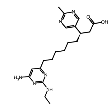 CCNc1nc(N)cc(CCCCCC[C@H](CC(=O)O)c2cnc(C)nc2)n1